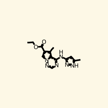 CCOC(=O)c1cn2ncnc(Nc3cc(C)[nH]n3)c2c1C